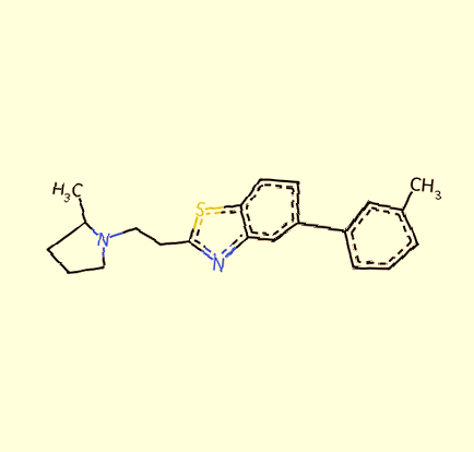 Cc1cccc(-c2ccc3sc(CCN4CCCC4C)nc3c2)c1